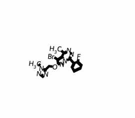 Cc1nnc(-c2ccccc2F)n2nc(OCc3ncnn3C)c(Br)c12